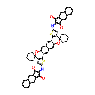 O=c1c(=Nc2cc3c(s2)C2=CC4C=C5OC6(CCCCC6)c6cc(N=c7c(=O)c8cc9ccccc9cc8c7=O)sc6C5=CC4C=C2OC32CCCCC2)c(=O)c2cc3ccccc3cc12